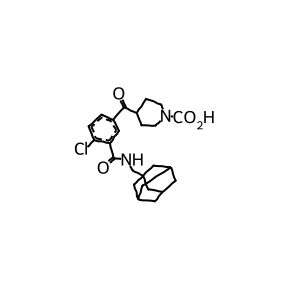 O=C(NCC12CC3CC(CC(C3)C1)C2)c1cc(C(=O)C2CCN(C(=O)O)CC2)ccc1Cl